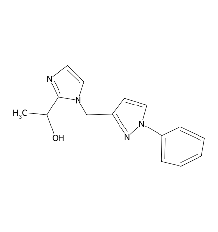 CC(O)c1nccn1Cc1ccn(-c2ccccc2)n1